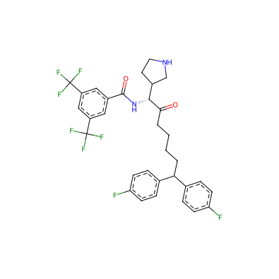 O=C(N[C@@H](C(=O)CCCCC(c1ccc(F)cc1)c1ccc(F)cc1)C1CCNC1)c1cc(C(F)(F)F)cc(C(F)(F)F)c1